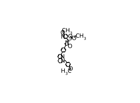 CCOC(=O)C[C@@H](c1ccc(OC)nc1)N1CC(c2ccc(-c3ccc4c(n3)N(Cc3ccc(OC)cc3)CCC4)cc2)C1=O